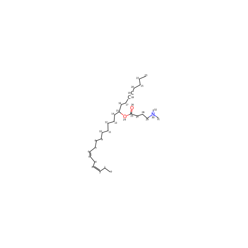 CC/C=C\C/C=C\CCCCCCCCC(CCCCCCCC)OC(=O)CCCN(C)C